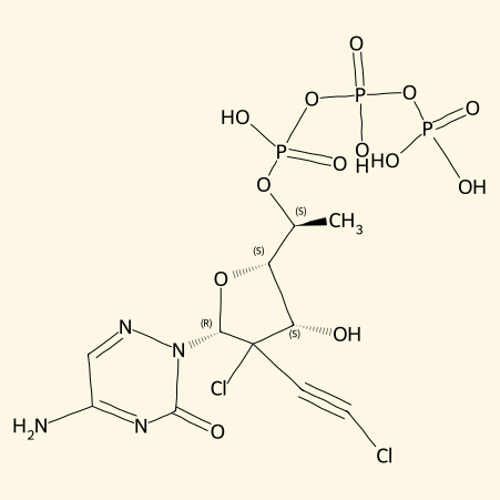 C[C@H](OP(=O)(O)OP(=O)(O)OP(=O)(O)O)[C@H]1O[C@@H](n2ncc(N)nc2=O)C(Cl)(C#CCl)[C@H]1O